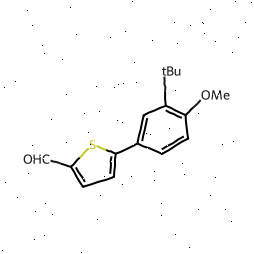 COc1ccc(-c2ccc(C=O)s2)cc1C(C)(C)C